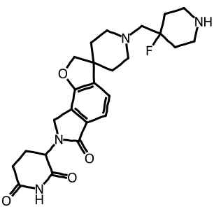 O=C1CCC(N2Cc3c(ccc4c3OCC43CCN(CC4(F)CCNCC4)CC3)C2=O)C(=O)N1